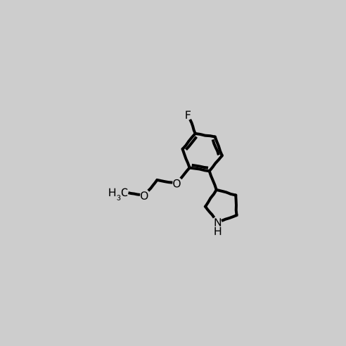 COCOc1cc(F)ccc1C1CCNC1